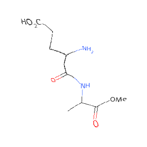 COC(=O)C(C)NC(=O)C(N)CCC(=O)O